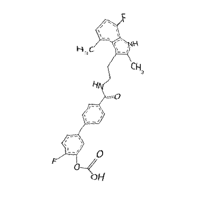 Cc1[nH]c2c(F)ccc(C)c2c1CCNC(=O)c1ccc(-c2ccc(F)c(OC(=O)O)c2)cc1